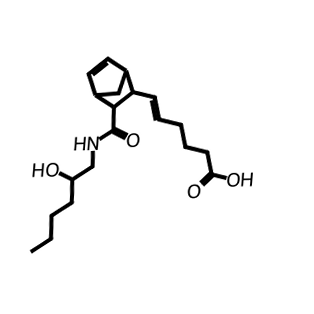 CCCCC(O)CNC(=O)C1C2C=CC(C2)C1C=CCCCC(=O)O